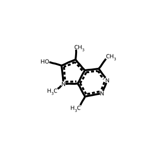 Cc1nnc(C)c2c1c(C)c(O)n2C